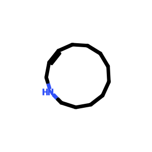 C1=C\CNCCCCCCCCC/1